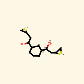 OC(CC1CS1)C1CCCC(C(O)CC2CS2)C1